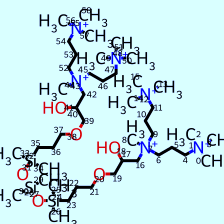 C[N+](C)(C)CCC[N+](C)(CCC[N+](C)(C)C)CC(O)COCCC[Si](C)(C)O[Si](C)(C)O[Si](C)(C)CCCOCC(O)C[N+](C)(CCC[N+](C)(C)C)CCC[N+](C)(C)C